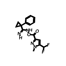 [H]/N=C(\NOC(=O)c1cc(C(F)F)n(C)n1)C1(c2ccccc2)CC1